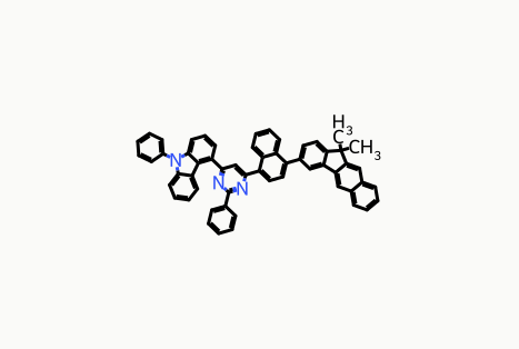 CC1(C)c2ccc(-c3ccc(-c4cc(-c5cccc6c5c5ccccc5n6-c5ccccc5)nc(-c5ccccc5)n4)c4ccccc34)cc2-c2cc3ccccc3cc21